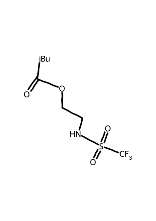 CCC(C)C(=O)OCCNS(=O)(=O)C(F)(F)F